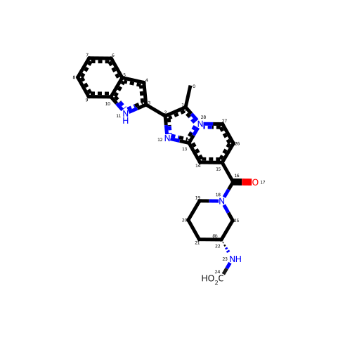 Cc1c(-c2cc3ccccc3[nH]2)nc2cc(C(=O)N3CCC[C@@H](NC(=O)O)C3)ccn12